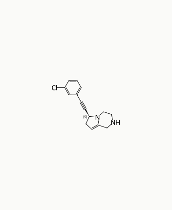 Clc1cccc(C#C[C@@H]2CC=C3CNCCN32)c1